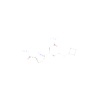 CN(C)C(=O)c1coc([C@H](CCCC2CCC2)CC(=O)NO)n1